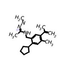 C=N/N=C(/C)NCc1cc(C(=C)C)c(C)cc1C1CCCC1